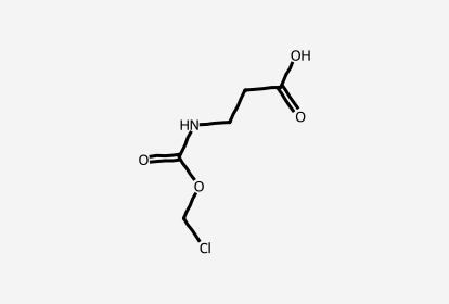 O=C(O)CCNC(=O)OCCl